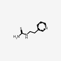 NC(=S)NCCc1cccnc1